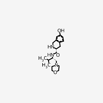 CC(C)[C@@H](CN1CCOCC1)NC(=O)[C@H]1Cc2ccc(O)cc2CN1